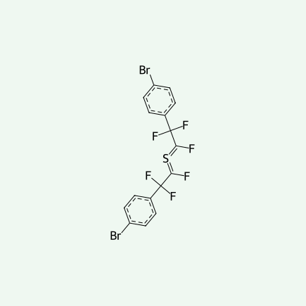 FC(=S=C(F)C(F)(F)c1ccc(Br)cc1)C(F)(F)c1ccc(Br)cc1